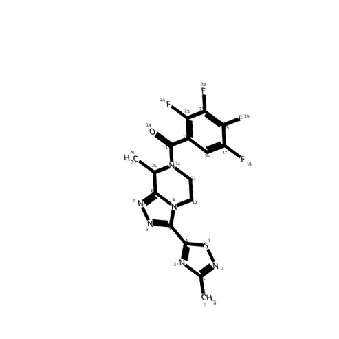 Cc1nsc(-c2nnc3n2CCN(C(=O)c2cc(F)c(F)c(F)c2F)C3C)n1